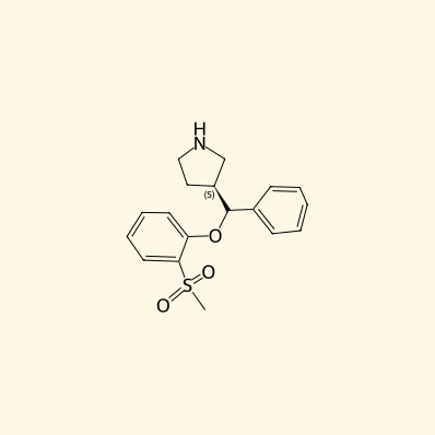 CS(=O)(=O)c1ccccc1OC(c1ccccc1)[C@H]1CCNC1